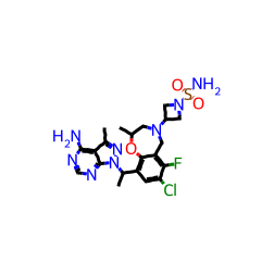 Cc1nn(C(C)c2cc(Cl)c(F)c3c2OC(C)CN(C2CN(S(N)(=O)=O)C2)C3)c2ncnc(N)c12